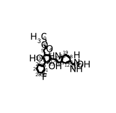 CCOC(=O)Cc1cc(-c2cc3cc(C(=N)NO)ccc3[nH]2)c(O)c(-c2cccc(F)c2)c1O